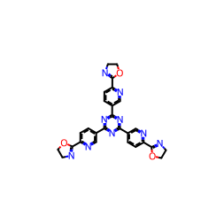 c1cc(C2=NCCO2)ncc1-c1nc(-c2ccc(C3=NCCO3)nc2)nc(-c2ccc(C3=NCCO3)nc2)n1